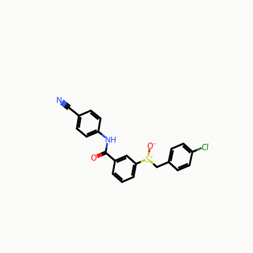 N#Cc1ccc(NC(=O)c2cccc([S+]([O-])Cc3ccc(Cl)cc3)c2)cc1